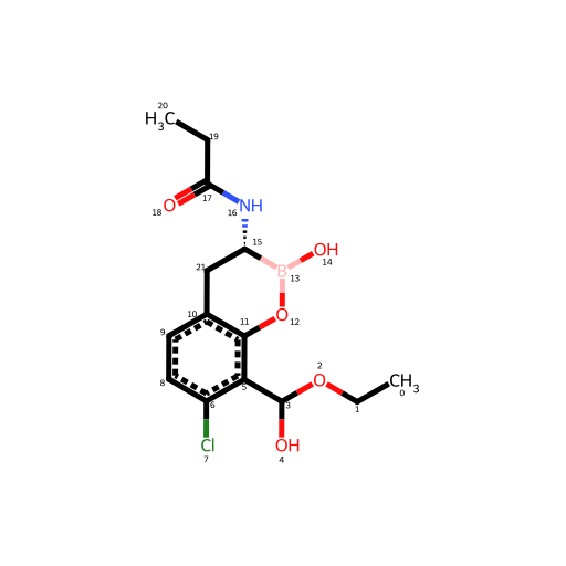 CCOC(O)c1c(Cl)ccc2c1OB(O)[C@@H](NC(=O)CC)C2